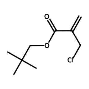 C=C(CCl)C(=O)OCC(C)(C)C